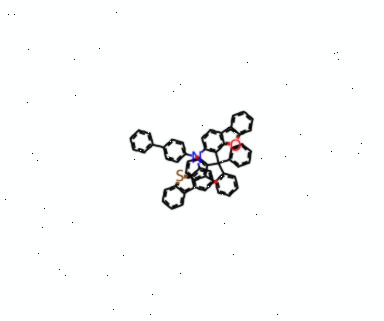 c1ccc(-c2ccc(N(c3ccc4c(oc5ccccc54)c3C3(c4ccccc4)c4ccccc4-c4ccccc43)c3cccc4c3sc3ccccc34)cc2)cc1